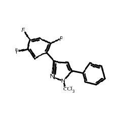 Fc1cc(F)c(-c2cc(-c3ccccc3)n(C(Cl)(Cl)Cl)n2)cc1F